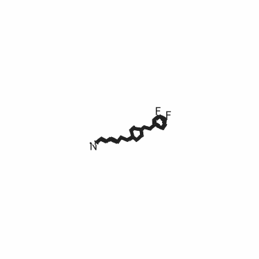 N#CC=CC=CCCC1CCC(CCc2ccc(F)c(F)c2)CC1